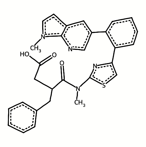 CN(C(=O)C(CC(=O)O)Cc1ccccc1)c1nc(-c2ccccc2-c2cnc3c(ccn3C)c2)cs1